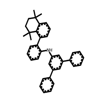 CC1(C)CCC(C)(C)c2c(-c3ccccc3Nc3cc(-c4ccccc4)cc(-c4ccccc4)c3)cccc21